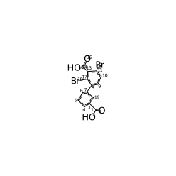 O=C(O)c1cccc(-c2ccc(Br)c(C(=O)O)c2Br)c1